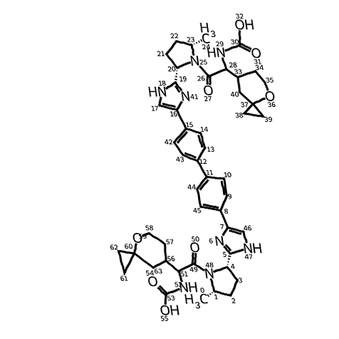 C[C@H]1CC[C@@H](c2nc(-c3ccc(-c4ccc(-c5c[nH]c([C@@H]6CC[C@H](C)N6C(=O)C(NC(=O)O)C6CCOC7(CC7)C6)n5)cc4)cc3)c[nH]2)N1C(=O)C(NC(=O)O)C1CCOC2(CC2)C1